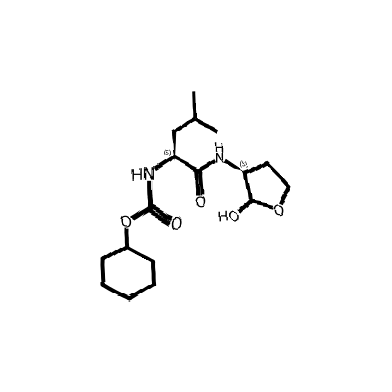 CC(C)C[C@H](NC(=O)OC1CCCCC1)C(=O)N[C@H]1CCOC1O